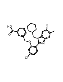 O=C(O)c1cccc(COc2cc(Cl)ccc2-c2nc3cc(F)c(F)cc3n2CC2CCCCC2)c1